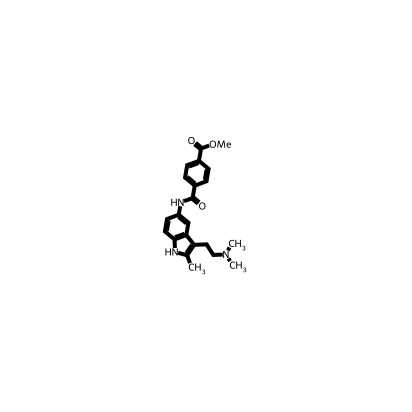 COC(=O)c1ccc(C(=O)Nc2ccc3[nH]c(C)c(CCN(C)C)c3c2)cc1